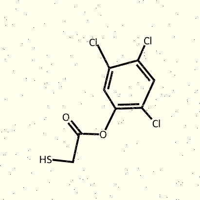 O=C(CS)Oc1cc(Cl)c(Cl)cc1Cl